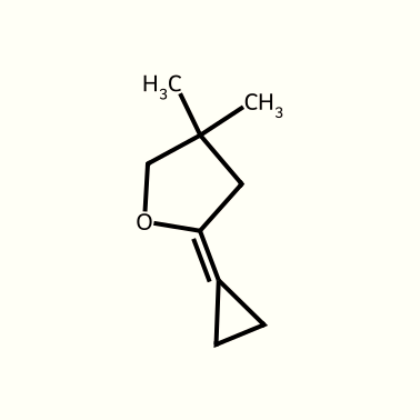 CC1(C)COC(=C2CC2)C1